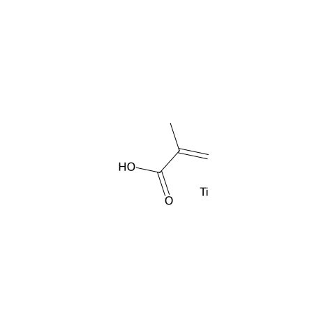 C=C(C)C(=O)O.[Ti]